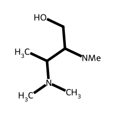 CNC(CO)C(C)N(C)C